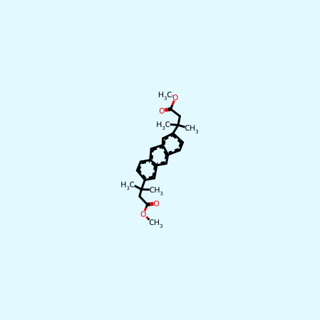 COC(=O)CC(C)(C)c1ccc2cc3cc(C(C)(C)CC(=O)OC)ccc3cc2c1